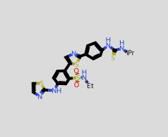 CCNS(=O)(=O)c1cc(Nc2nccs2)ccc1-c1cnc(-c2ccc(NC(=S)NC(C)C)cc2)s1